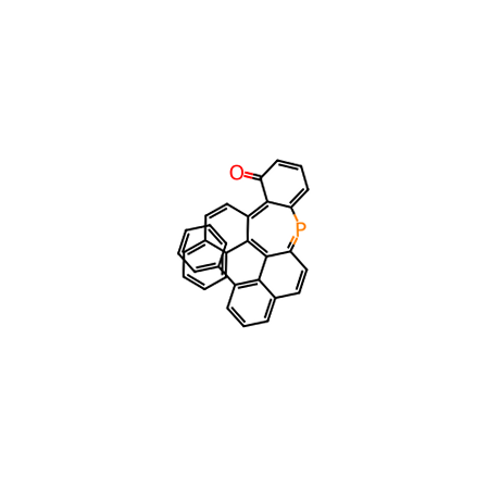 O=c1cccc2pc3ccc4cccc(-c5ccccc5)c4c3c3c(ccc4ccccc43)c1-2